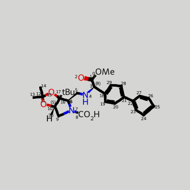 COC(=O)[C@H](NC[C@H]1N(C(=O)O)C[C@@H]2OC(C)(C)O[C@@]21C(C)(C)C)c1ccc(-c2ccccc2)cc1